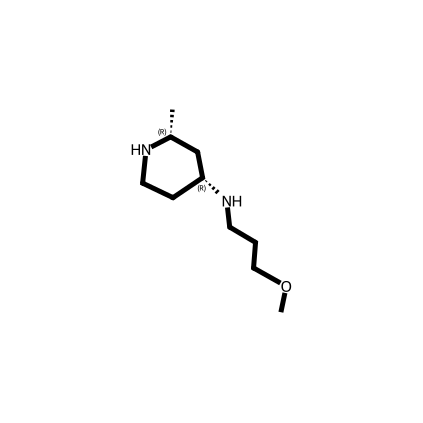 COCCCN[C@@H]1CCN[C@H](C)C1